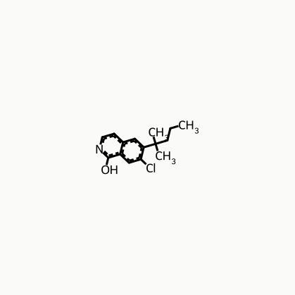 CCCC(C)(C)c1cc2ccnc(O)c2cc1Cl